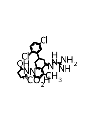 Cc1ccnc2c1C(=NNC(=N)N)CC(c1cc(Cl)ccc1Cl)C2.O=C1CC[C@@H](C(=O)O)N1